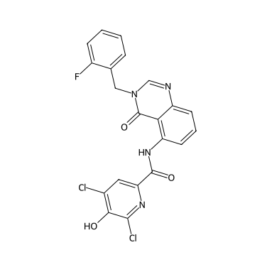 O=C(Nc1cccc2ncn(Cc3ccccc3F)c(=O)c12)c1cc(Cl)c(O)c(Cl)n1